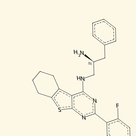 N[C@H](CNc1nc(-c2ccncc2F)nc2sc3c(c12)CCCC3)Cc1ccccc1